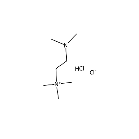 CN(C)CC[N+](C)(C)C.Cl.[Cl-]